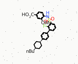 CCCC[C@H]1CC[C@@H](c2ccc(-c3cccc(S(=O)(=O)Nc4ccc(C(=O)O)cc4OC)c3F)cc2)CC1